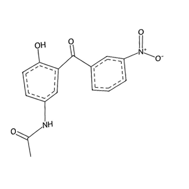 CC(=O)Nc1ccc(O)c(C(=O)c2cccc([N+](=O)[O-])c2)c1